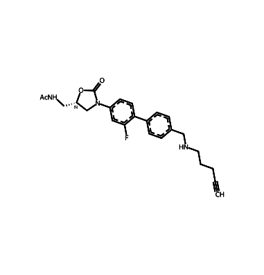 C#CCCCNCc1ccc(-c2ccc(N3C[C@H](CNC(C)=O)OC3=O)cc2F)cc1